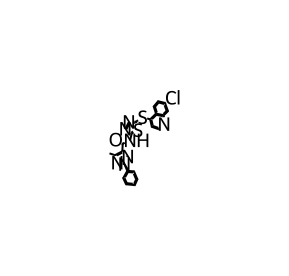 Cc1nn(-c2ccccc2)nc1C(=O)Nc1nnc(Sc2ccnc3cc(Cl)ccc23)s1